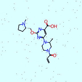 C=CC(=O)N1CCN(c2cc(C(=O)O)nc(OC[C@@H]3CCCN3C)n2)[C@@H](C)C1